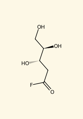 O=C(F)C[C@H](O)[C@H](O)CO